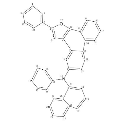 c1ccc(-c2nc3c4cc(N(c5ccccc5)c5cccc6ccccc56)ccc4c4ccccc4c3o2)cc1